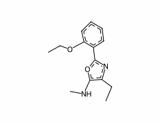 CCOc1ccccc1-c1nc(CC)c(NC)o1